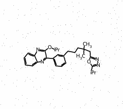 CC(C)Oc1nc2ccccc2nc1-c1cccc(CCCC(C)(C)Cc2nnc(C(C)C)o2)c1